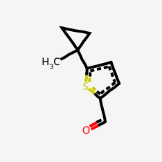 CC1(c2ccc(C=O)s2)CC1